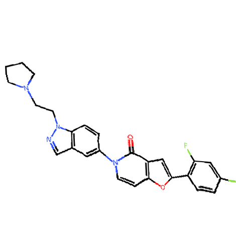 O=c1c2cc(-c3ccc(F)cc3F)oc2ccn1-c1ccc2c(cnn2CCN2CCCC2)c1